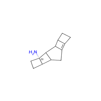 N[C@@]12CCC1C1CC3=C4CCC4C3C12